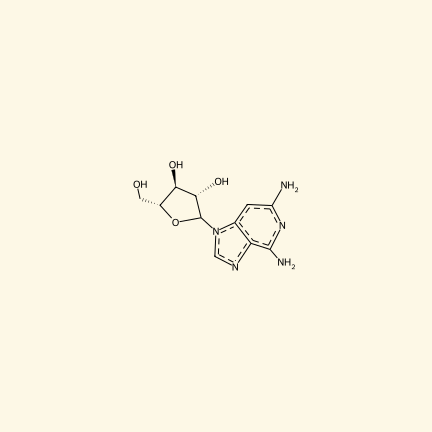 Nc1cc2c(ncn2C2O[C@H](CO)[C@@H](O)[C@@H]2O)c(N)n1